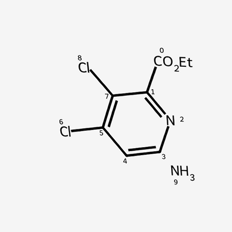 CCOC(=O)c1nccc(Cl)c1Cl.N